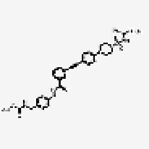 CC(C)[C@@H](NS(=O)(=O)N1CCN(c2ccc(C#Cc3ccnc(C(=O)NCc4ccc(CNC(=O)OC(C)(C)C)cc4)c3)cc2)CC1)C(=O)O